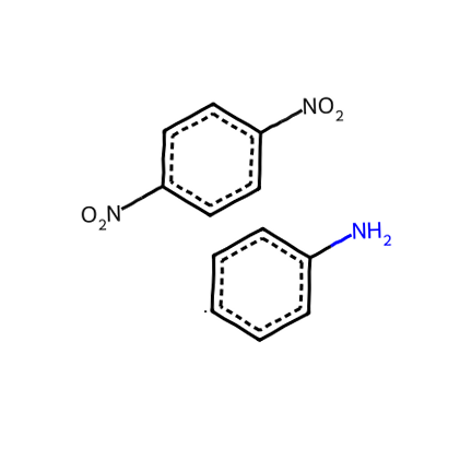 Nc1cc[c]cc1.O=[N+]([O-])c1ccc([N+](=O)[O-])cc1